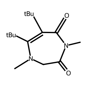 CN1CC(=O)N(C)C(=O)C(C(C)(C)C)=C1C(C)(C)C